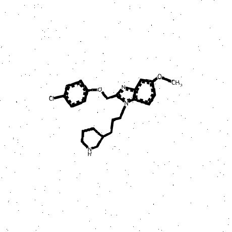 COc1ccc2c(c1)nc(COc1ccc(Cl)cc1)n2CCCC1CCCNC1